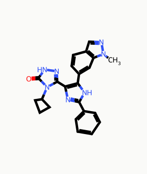 Cn1ncc2ccc(-c3[nH]c(-c4ccccc4)nc3-c3n[nH]c(=O)n3C3CCC3)cc21